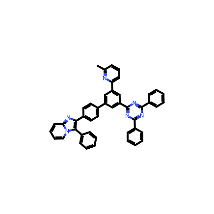 Cc1cccc(-c2cc(-c3ccc(-c4nc5ccccn5c4-c4ccccc4)cc3)cc(-c3nc(-c4ccccc4)nc(-c4ccccc4)n3)c2)n1